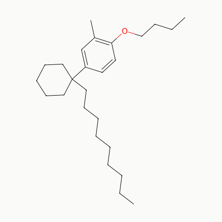 CCCCCCCCCC1(c2ccc(OCCCC)c(C)c2)CCCCC1